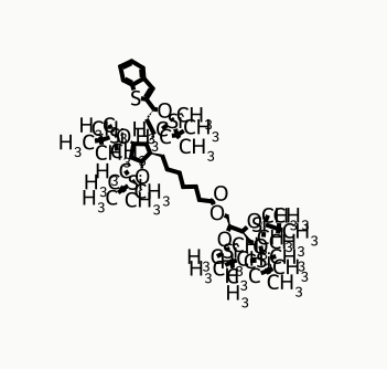 CC(C)(C)[Si](C)(C)OC[C@H](O[Si](C)(C)C(C)(C)C)[C@H](COC(=O)CCCCCC[C@@H]1[C@@H](CC[C@@H](O[Si](C)(C)C(C)(C)C)c2cc3ccccc3s2)[C@H](O[Si](C)(C)C(C)(C)C)C[C@@H]1O[Si](C)(C)C(C)(C)C)O[Si](C)(C)C(C)(C)C